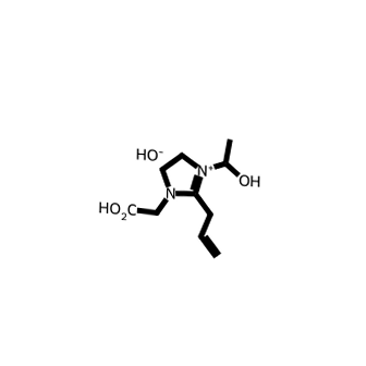 C=CCC1=[N+](C(C)O)CCN1CC(=O)O.[OH-]